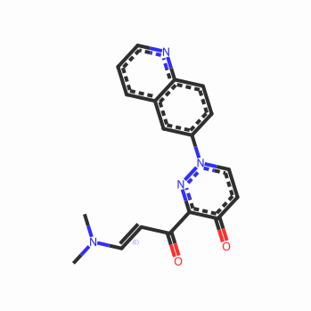 CN(C)/C=C/C(=O)c1nn(-c2ccc3ncccc3c2)ccc1=O